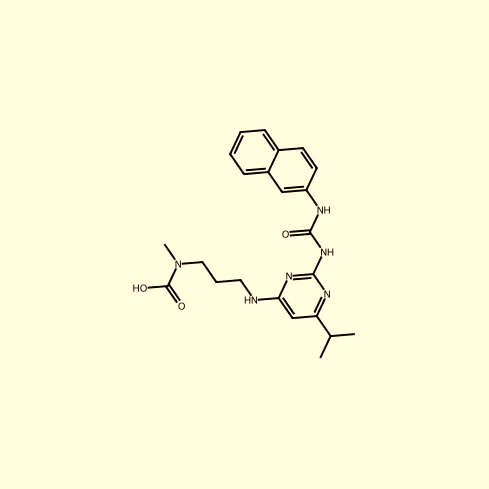 CC(C)c1cc(NCCCN(C)C(=O)O)nc(NC(=O)Nc2ccc3ccccc3c2)n1